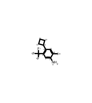 Nc1cc(C(F)(F)F)c(C2CCC2)cc1I